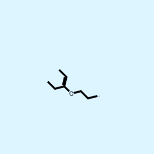 [CH2]CCOC(=CC)CC